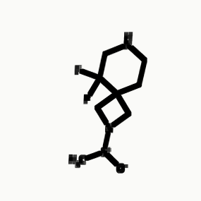 C[S+]([O-])N1CC2(CCNCC2(F)F)C1